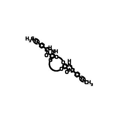 CN1CCN(c2ccc(C3=CN4C(=O)c5cc6c(cc5NCC4C3)OCCCOc3cc4c(cc3OCCCCCCCCO6)C(=O)N3C=C(c5ccc(N6CCN(C)CC6)cc5)C[C@H]3CN4)cc2)CC1